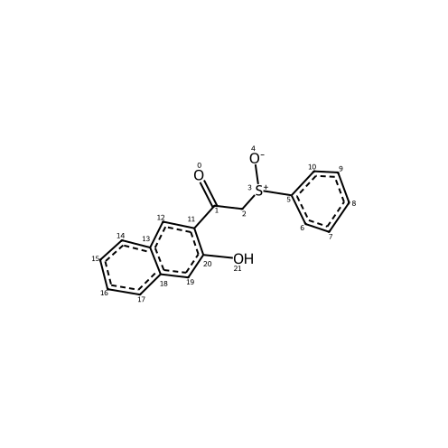 O=C(C[S+]([O-])c1ccccc1)c1cc2ccccc2cc1O